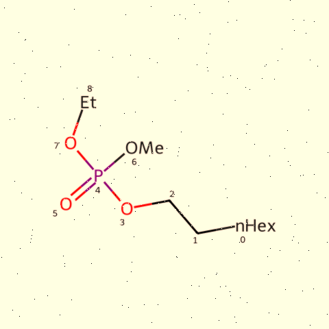 CCCCCCCCOP(=O)(OC)OCC